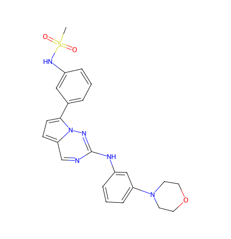 CS(=O)(=O)Nc1cccc(-c2ccc3cnc(Nc4cccc(N5CCOCC5)c4)nn23)c1